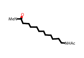 CNC(=O)CCCCCCCCCCCNC(C)=O